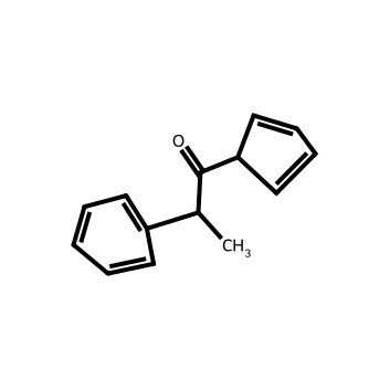 CC(C(=O)C1C=CC=C1)c1ccccc1